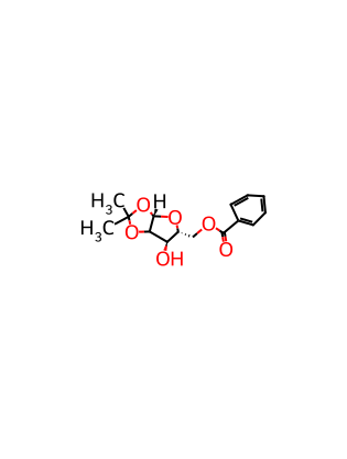 CC1(C)OC2[C@@H](O[C@H](COC(=O)c3ccccc3)[C@H]2O)O1